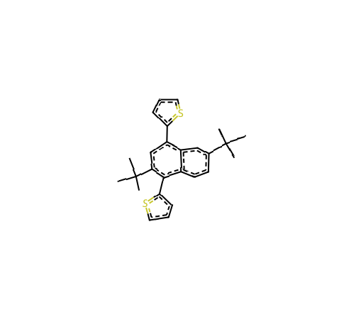 CC(C)(C)c1ccc2c(-c3cccs3)c(C(C)(C)C)cc(-c3cccs3)c2c1